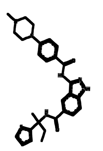 CCC(C)(NC(=O)c1ccc2[nH]nc(NC(=O)c3ccc(N4CCN(C)CC4)cc3)c2c1)c1cccs1